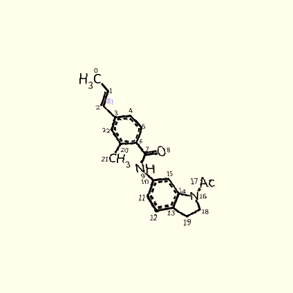 C/C=C/c1ccc(C(=O)Nc2ccc3c(c2)N(C(C)=O)CC3)c(C)c1